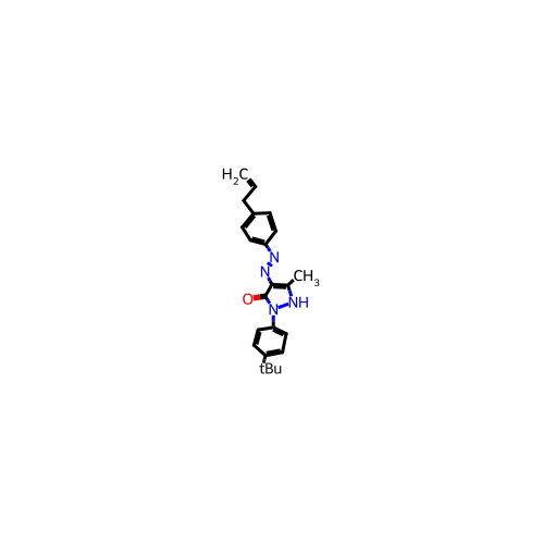 C=CCc1ccc(N=Nc2c(C)[nH]n(-c3ccc(C(C)(C)C)cc3)c2=O)cc1